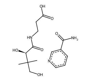 CC(C)(CO)[C@@H](O)C(=O)NCCC(=O)O.NC(=O)c1cccnc1